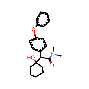 CN(C)C(=O)C(c1ccc(Oc2ccccc2)cc1)C1(O)CCCCC1